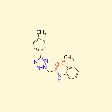 COc1ccccc1NC(=O)Cn1nnc(-c2ccc(C)cc2)n1